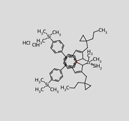 CCCC1(CC2=Cc3c(-c4ccc([Si](C)(C)C)cc4)cccc3[CH]2[Zr]([CH3])([CH3])(=[SiH2])[CH]2C(CC3(CCC)CC3)=Cc3c(-c4ccc([Si](C)(C)C)cc4)cccc32)CC1.Cl.Cl